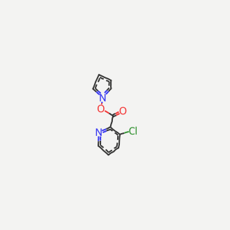 O=C(On1cccc1)c1ncccc1Cl